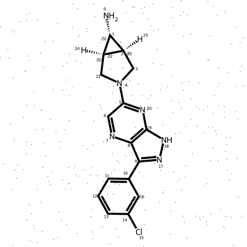 N[C@@H]1[C@H]2CN(c3cnc4c(-c5cccc(Cl)c5)n[nH]c4n3)C[C@@H]12